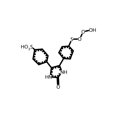 O=c1[nH]c(-c2ccc(SOOO)cc2)c(-c2ccc(S(=O)(=O)O)cc2)[nH]1